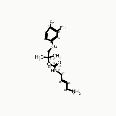 CC(C)(COc1ccc(F)c(F)c1)OC(=O)NC/C=C/CN